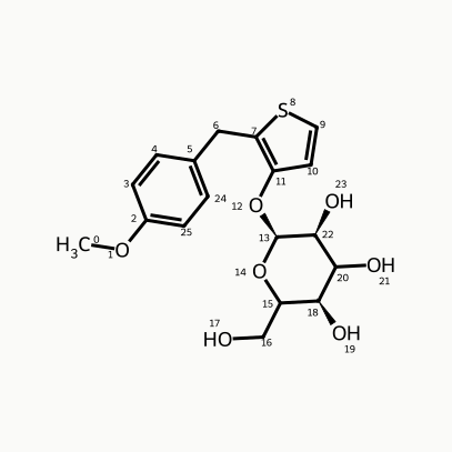 COc1ccc(Cc2sccc2O[C@@H]2OC(CO)[C@H](O)C(O)[C@@H]2O)cc1